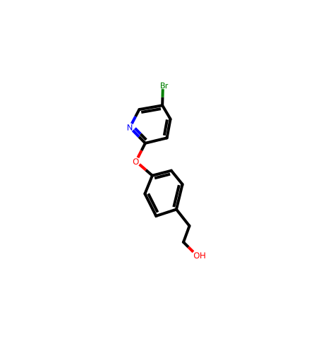 OCCc1ccc(Oc2ccc(Br)cn2)cc1